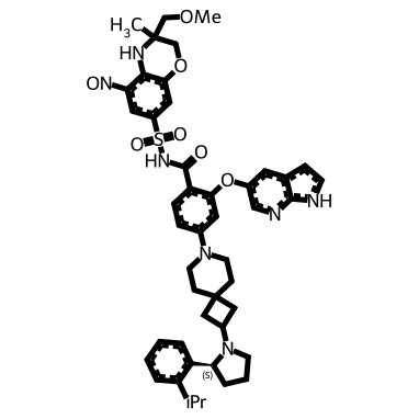 COCC1(C)COc2cc(S(=O)(=O)NC(=O)c3ccc(N4CCC5(CC4)CC(N4CCC[C@H]4c4ccccc4C(C)C)C5)cc3Oc3cnc4[nH]ccc4c3)cc(N=O)c2N1